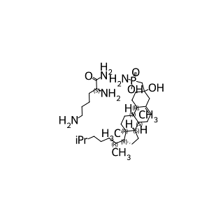 CC(C)CCC[C@@H](C)[C@H]1CC[C@H]2[C@@H]3CC=C4CC(O)(CP(N)(=O)O)CC[C@]4(C)[C@H]3CC[C@]12C.NCCCC[C@H](N)C(N)=O